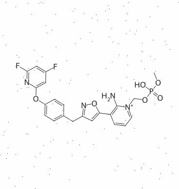 COP(=O)(O)OC[n+]1cccc(-c2cc(Cc3ccc(Oc4cc(F)cc(F)n4)cc3)no2)c1N